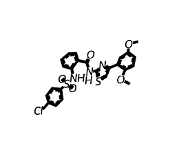 COc1ccc(OC)c(-c2csc(NC(=O)c3ccccc3NS(=O)(=O)c3ccc(Cl)cc3)n2)c1